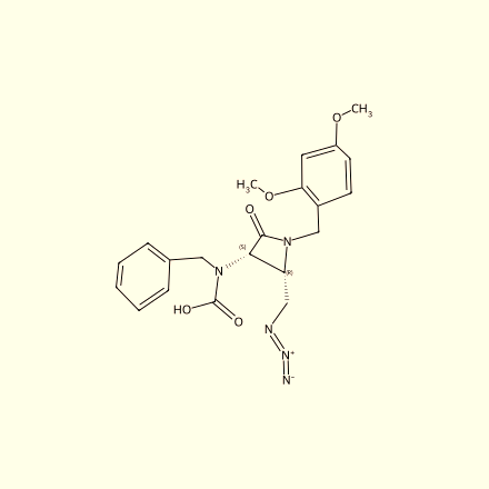 COc1ccc(CN2C(=O)[C@@H](N(Cc3ccccc3)C(=O)O)[C@H]2CN=[N+]=[N-])c(OC)c1